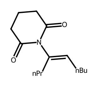 CCCCC=C(CCC)N1C(=O)CCCC1=O